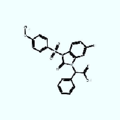 COc1ccc(S(=O)(=O)n2c(=O)n(C(C(=O)O)c3ccccc3)c3cc(Cl)ccc32)cc1